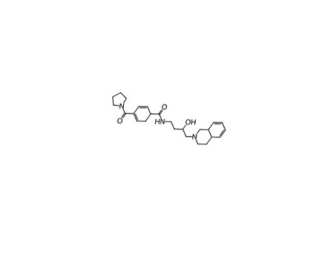 O=C(NCCC(O)CN1CCC2C=CC=CC2C1)C1C=CC(C(=O)N2CCCC2)=CC1